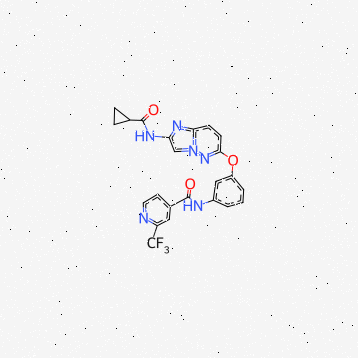 O=C(Nc1cccc(Oc2ccc3nc(NC(=O)C4CC4)cn3n2)c1)c1ccnc(C(F)(F)F)c1